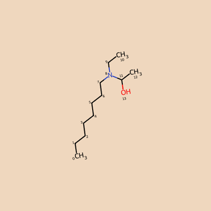 CCCCCCCCN(CC)C(C)O